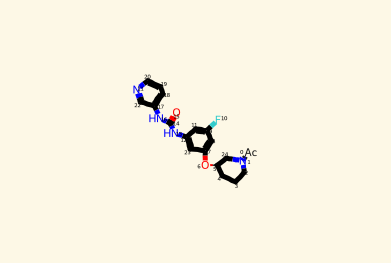 CC(=O)N1CCC[C@H](Oc2cc(F)cc(NC(=O)Nc3cccnc3)c2)C1